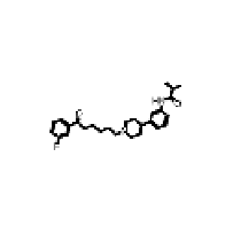 CC(C)C(=O)Nc1cccc(C2CCN(CCCCCC(=O)c3cccc(F)c3)CC2)c1